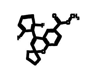 COC(=O)c1ccc2c(c1)C(c1c(F)cccc1F)=CC1(CCCC1)O2